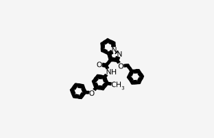 Cc1cc(Oc2ccccc2)ccc1NC(=O)c1c(OCc2ccccc2)nn2ccccc12